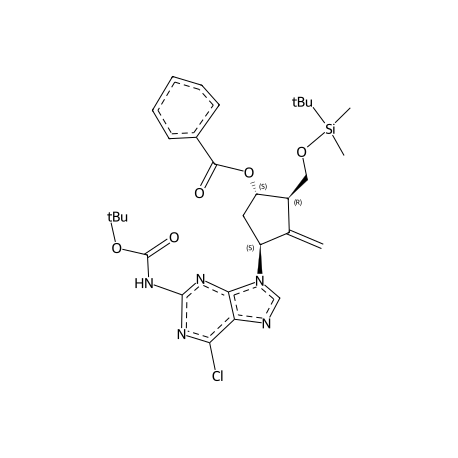 C=C1[C@H](CO[Si](C)(C)C(C)(C)C)[C@@H](OC(=O)c2ccccc2)C[C@@H]1n1cnc2c(Cl)nc(NC(=O)OC(C)(C)C)nc21